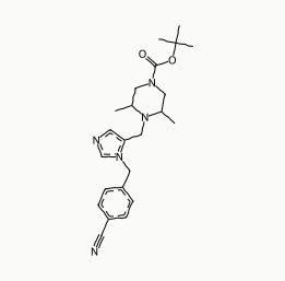 CC1CN(C(=O)OC(C)(C)C)CC(C)N1Cc1cncn1Cc1ccc(C#N)cc1